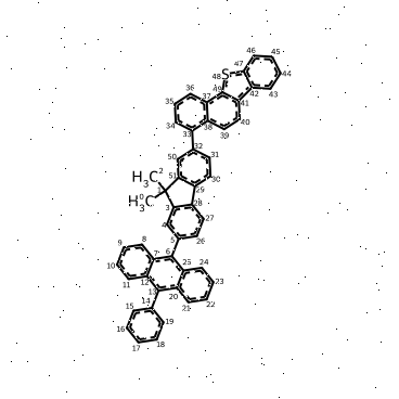 CC1(C)c2cc(-c3c4ccccc4c(-c4ccccc4)c4ccccc34)ccc2-c2ccc(-c3cccc4c3ccc3c5ccccc5sc43)cc21